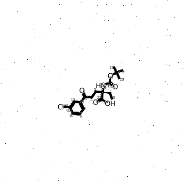 CC[C@@](CCC(=O)c1cccc(Cl)c1)(NC(=O)OC(C)(C)C)C(=O)O